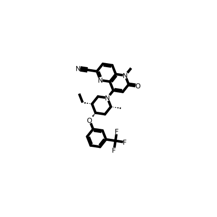 CC[C@@H]1CN(c2cc(=O)n(C)c3ccc(C#N)nc23)[C@H](C)C[C@@H]1Oc1cccc(C(F)(F)F)c1